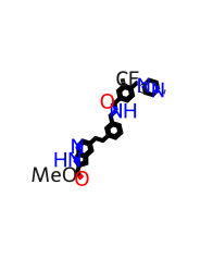 COC(=O)c1cc2cc(CCc3cccc(CNC(=O)c4ccc(CN5CCN(C)CC5)c(C(F)(F)F)c4)c3)cnc2[nH]1